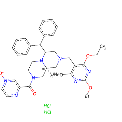 CCOc1nc(OC)c(CN2CC(C(c3ccccc3)c3ccccc3)N3CCN(C(=O)c4c[n+]([O-])ccn4)C[C@@H]3C2)c(OCC(F)(F)F)n1.Cl.Cl